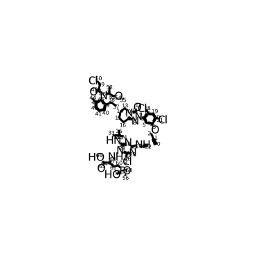 C#CCOc1cc(-n2nc3n(c2=O)CCCC3)c(Cl)cc1Cl.CCNc1nc(Cl)nc(NC(C)(C)C)n1.CCc1cccc(C)c1N(C(=O)CCl)C(C)COC.CP(=O)(O)CCC(N)C(=O)O